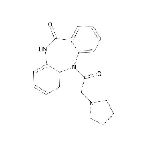 O=C1Nc2ccccc2N(C(=O)CN2CCCC2)c2ccccc21